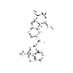 C[C@@H]1CNC(=O)c2cc3ccc(C(=O)Nc4cccnc4S(N)(=O)=O)nc3n21